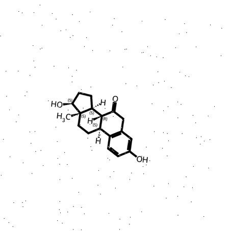 C[C@]12CC[C@@H]3c4ccc(O)cc4CC(=O)[C@H]3[C@@H]1CC[C@@H]2O